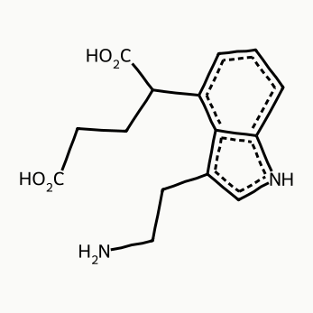 NCCc1c[nH]c2cccc(C(CCC(=O)O)C(=O)O)c12